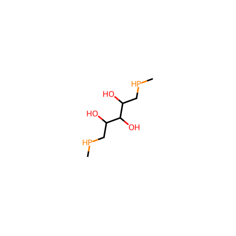 CPCC(O)C(O)C(O)CPC